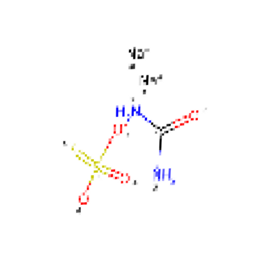 NC(N)=O.O=S([O-])([O-])=S.[Na+].[Na+]